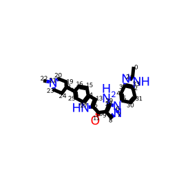 Cc1nc2cc(-n3ncc(C(=O)c4cc5ccc(C6CCN(C)CC6)cc5[nH]4)c3N)ccc2[nH]1